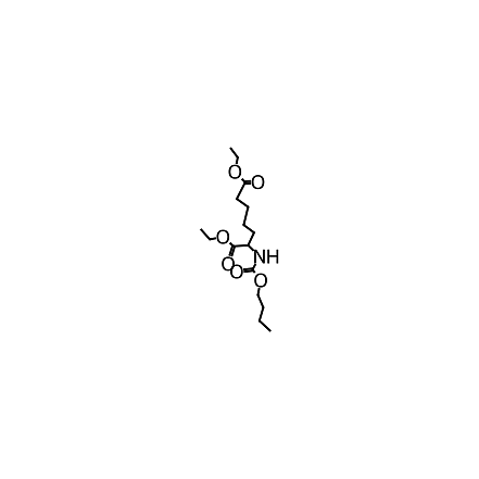 CCCCOC(=O)NC(CCCCC(=O)OCC)C(=O)OCC